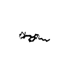 CCCCCCn1ccc2c(C=C3CSC=N3)cccc21